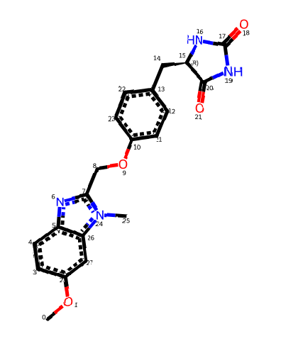 COc1ccc2nc(COc3ccc(C[C@H]4NC(=O)NC4=O)cc3)n(C)c2c1